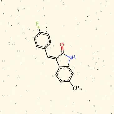 Cc1ccc2c(c1)NC(=O)C2=Cc1ccc(F)cc1